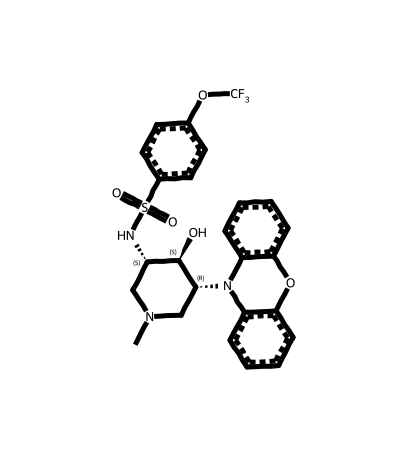 CN1C[C@H](NS(=O)(=O)c2ccc(OC(F)(F)F)cc2)[C@@H](O)[C@H](N2c3ccccc3Oc3ccccc32)C1